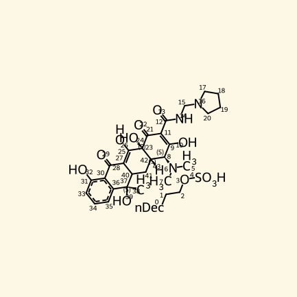 CCCCCCCCCCCCOS(=O)(=O)O.CN(C)[C@@H]1C(O)=C(C(=O)NCN2CCCC2)C(=O)[C@@]2(O)C(O)=C3C(=O)c4c(O)cccc4[C@@](C)(O)C3C[C@@H]12